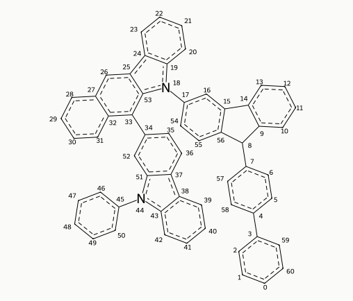 c1ccc(-c2ccc(C3c4ccccc4-c4cc(-n5c6ccccc6c6cc7ccccc7c(-c7ccc8c9ccccc9n(-c9ccccc9)c8c7)c65)ccc43)cc2)cc1